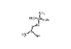 C[C@H](S)CO[Si](C)(C)C(C)(C)C